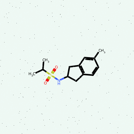 Cc1ccc2c(c1)CC(NS(=O)(=O)C(C)C)C2